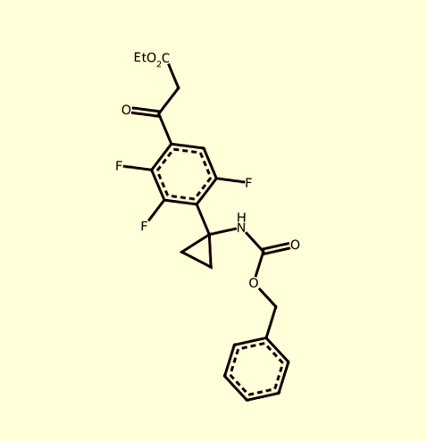 CCOC(=O)CC(=O)c1cc(F)c(C2(NC(=O)OCc3ccccc3)CC2)c(F)c1F